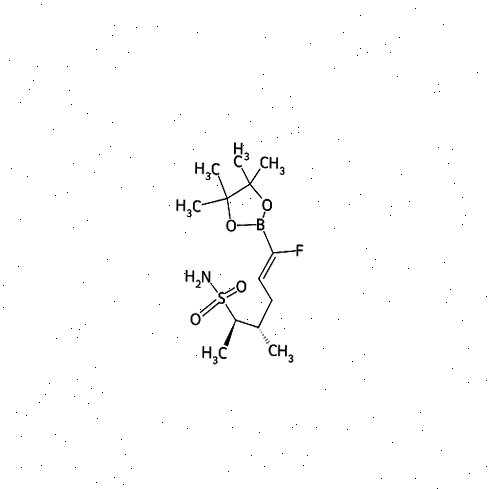 C[C@H]([C@@H](C)C/C=C(\F)B1OC(C)(C)C(C)(C)O1)S(N)(=O)=O